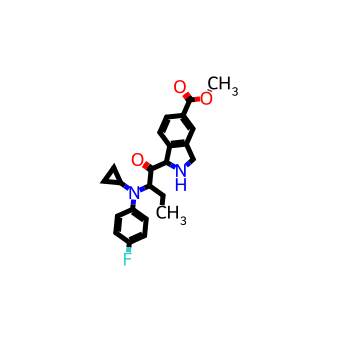 CCC(C(=O)C1NCc2cc(C(=O)OC)ccc21)N(c1ccc(F)cc1)C1CC1